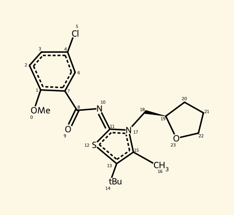 COc1ccc(Cl)cc1C(=O)/N=c1\sc(C(C)(C)C)c(C)n1C[C@H]1CCCO1